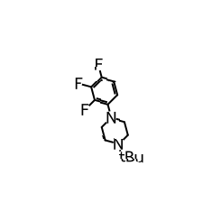 CC(C)(C)N1CCN(c2ccc(F)c(F)c2F)CC1